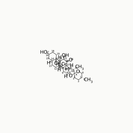 C[C@@H]1CC[C@@]2(OC1)O[C@H]1C[C@H]3[C@@H]4CC[C@H]5C[C@@H](O)CC[C@]5(C)[C@H]4[C@@H](O)C(=O)[C@]3(C)[C@H]1[C@@H]2C